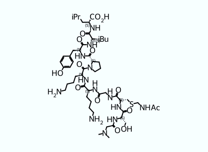 CC[C@H](C)[C@H](NC(=O)[C@H](Cc1ccc(O)cc1)NC(=O)[C@@H]1CCCN1C(=O)[C@H](CCCCN)NC(=O)[C@H](CCCCN)NC(=O)CNC(=O)[C@H](CSCNC(C)=O)NC(=O)[C@H](CO)NC(=O)CN(C)C)C(=O)N[C@@H](CC(C)C)C(=O)O